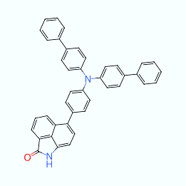 O=C1Nc2ccc(-c3ccc(N(c4ccc(-c5ccccc5)cc4)c4ccc(-c5ccccc5)cc4)cc3)c3cccc1c23